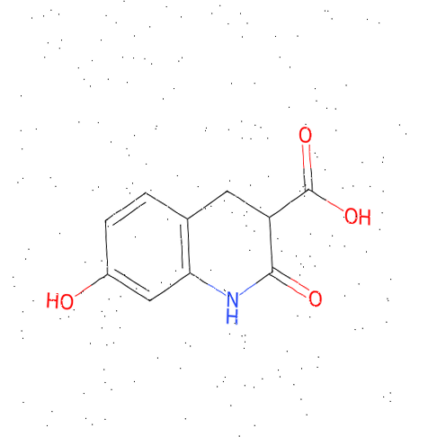 O=C(O)C1Cc2ccc(O)cc2NC1=O